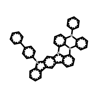 c1ccc(-c2ccc(-n3c4ccccc4c4cc5c6cccc7c6n(c5cc43)-c3cccc4c3B7c3ccccc3N4c3ccccc3)cc2)cc1